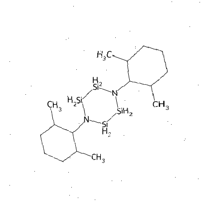 CC1CCCC(C)C1N1[SiH2][SiH2]N(C2C(C)CCCC2C)[SiH2][SiH2]1